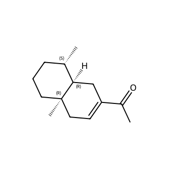 CC(=O)C1=CC[C@@]2(C)CCC[C@H](C)[C@H]2C1